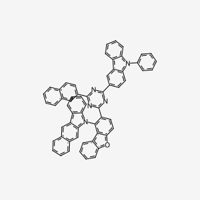 c1ccc(-n2c3ccccc3c3cc(-c4nc(-c5ccc6ccccc6c5)nc(-c5ccc6oc7ccccc7c6c5-n5c6ccccc6c6cc7ccccc7cc65)n4)ccc32)cc1